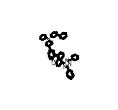 c1ccc(-c2cccc(N(c3ccccc3)c3ccc(-c4ccc5c(c4)-c4cccc6c(-c7nc(-c8ccccc8)nc(-c8ccccc8)n7)ccc(c46)O5)cc3)c2)cc1